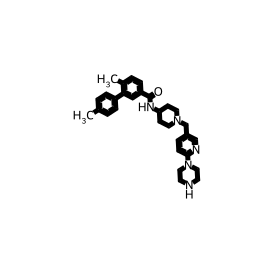 Cc1ccc(-c2cc(C(=O)NC3CCN(Cc4ccc(N5CCNCC5)nc4)CC3)ccc2C)cc1